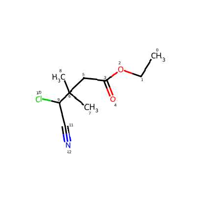 CCOC(=O)CC(C)(C)C(Cl)C#N